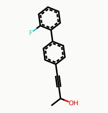 CC(O)C#Cc1ccc(-c2ccccc2F)cc1